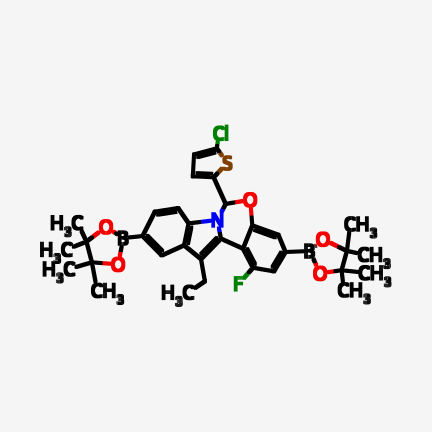 CCc1c2n(c3ccc(B4OC(C)(C)C(C)(C)O4)cc13)C(c1ccc(Cl)s1)Oc1cc(B3OC(C)(C)C(C)(C)O3)cc(F)c1-2